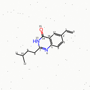 C=Cc1ccc2nc(CCC(C)C)[nH]c(=O)c2c1